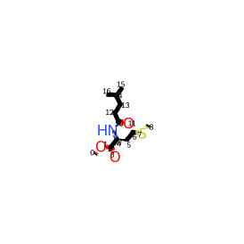 COC(=O)[C@H](CCSC)NC(=O)CCC(C)C